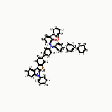 c1ccc(-c2ccc(-c3ccc(N(c4ccc(-c5ccc6c(c5)sc5c6c6ccccc6n5-c5ccccc5)cc4)c4cccc5c4oc4ccccc45)cc3)cc2)cc1